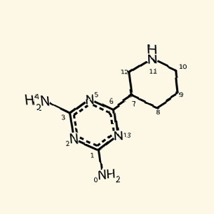 Nc1nc(N)nc(C2CCCNC2)n1